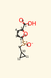 O=C(O)c1ccc([S+]([O-])CC2CC2)o1